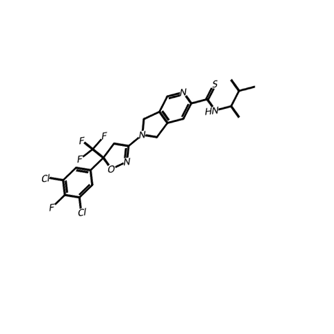 CC(C)C(C)NC(=S)c1cc2c(cn1)CN(C1=NOC(c3cc(Cl)c(F)c(Cl)c3)(C(F)(F)F)C1)C2